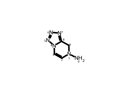 NN1C=Cn2nnnc2C1